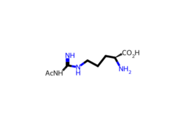 CC(=O)NC(=N)NCCC[C@H](N)C(=O)O